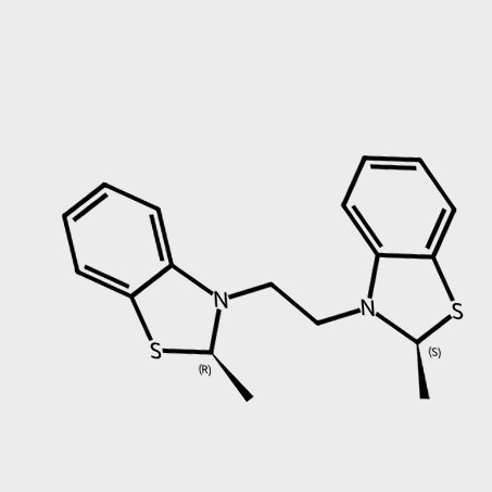 C[C@@H]1Sc2ccccc2N1CCN1c2ccccc2S[C@@H]1C